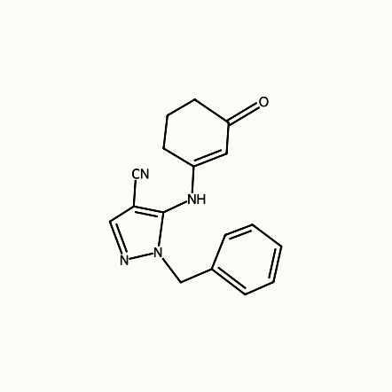 N#Cc1cnn(Cc2ccccc2)c1NC1=CC(=O)CCC1